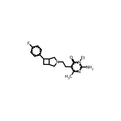 CCn1c(N)nc(C)c(CCN2CC3CC(c4ccc(F)cc4)C3C2)c1=O